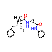 CC(C)(CCCc1ccccc1)C(=O)NC1CC1C(=O)Nc1ccccc1